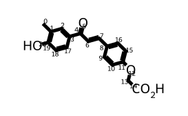 Cc1cc(C(=O)C=Cc2ccc(OCC(=O)O)cc2)ccc1O